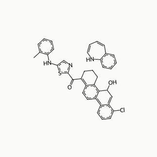 C1=CNc2ccccc2C=C1.Cc1ccccc1Nc1cnc(C(=O)C2=c3ccc4c(c3CCC2)C(O)C=c2c(Cl)cccc2=4)s1